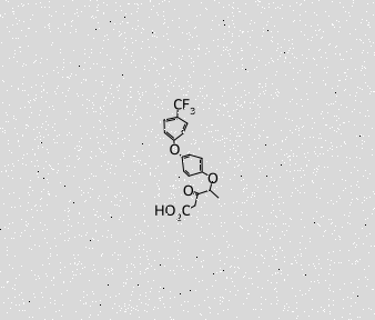 CC(Oc1ccc(Oc2ccc(C(F)(F)F)cc2)cc1)C(=O)CC(=O)O